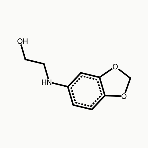 OCCNc1ccc2c(c1)OCO2